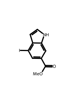 COC(=O)c1cc(I)c2cc[nH]c2c1